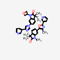 CC1(C)C(=O)N(C2COC2)c2cc(-n3cnc(-c4cccnc4)c3)ccc21.Cc1nc(-c2cccnc2)oc1-c1ccc2c(c1)N(C)C(=O)C2(C)C